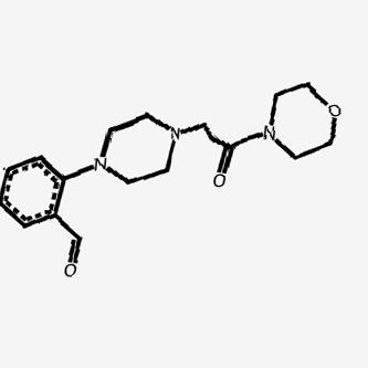 O=Cc1cc[c]cc1N1CCN(CC(=O)N2CCOCC2)CC1